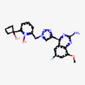 COc1cc(F)cc2c(-c3cn(Cc4cccc(C5(O)CCC5)[n+]4O)nn3)nc(N)nc12